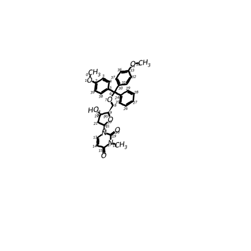 COc1ccc(C(OC[C@H]2O[C@@H](n3ccc(=O)n(C)c3=O)C[C@H]2O)(c2ccccc2)c2ccc(OC)cc2)cc1